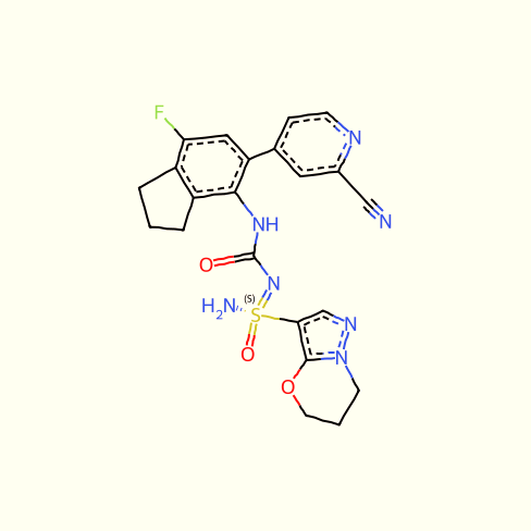 N#Cc1cc(-c2cc(F)c3c(c2NC(=O)N=[S@](N)(=O)c2cnn4c2OCCC4)CCC3)ccn1